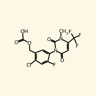 Cn1c(C(F)(F)F)cc(=O)n(-c2cc(COC(=O)O)c(Cl)cc2F)c1=O